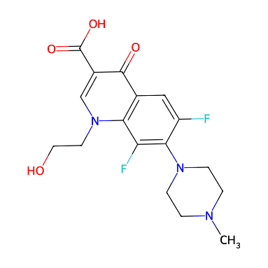 CN1CCN(c2c(F)cc3c(=O)c(C(=O)O)cn(CCO)c3c2F)CC1